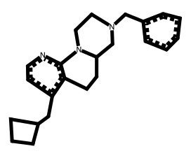 c1ccc(CN2CCN3c4nccc(CC5CCC5)c4CCC3C2)cc1